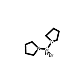 Br[SiH](N1CCCC1)N1CCCC1